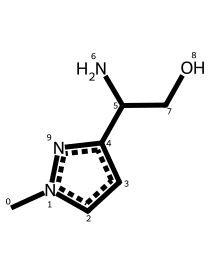 Cn1ccc(C(N)CO)n1